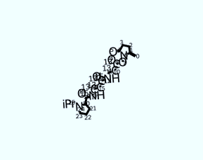 C=C1CCC(=O)N1O[13C](=O)[13CH2]C[15NH][13C](=O)[13CH2][13CH2][15NH]C(=O)C1CCCN1C([13CH3])[13CH3]